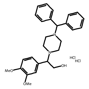 COc1ccc(C(CO)N2CCN(C(c3ccccc3)c3ccccc3)CC2)cc1OC.Cl.Cl